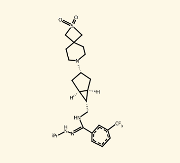 CC(C)N/N=C(\NC[C@@H]1[C@H]2C[C@H](N3CCC4(CC3)CS(=O)(=O)C4)C[C@@H]12)c1cccc(C(F)(F)F)c1